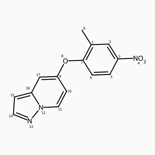 Cc1cc([N+](=O)[O-])ccc1Oc1ccn2nccc2c1